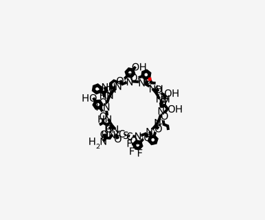 CCCC[C@H]1C(=O)N2C[C@H](O)C[C@@H]2C(=O)N[C@@H](CC(=O)O)C(=O)N[C@@H](C(C)C)C(=O)N(C)[C@@H](Cc2ccccc2)C(=O)N[C@@H](Cc2ccc(O)cc2)C(=O)N2CCCC[C@@H]2C(=O)N[C@@H](Cc2c[nH]c3ccccc23)C(=O)N[C@@H](Cc2ccc(O)cc2)C(=O)NC(CC(C)C)C(=O)N[C@H](C(=O)NCC(N)=O)CSCC(=O)N[C@@H](Cc2cc(F)c(F)c(F)c2)C(=O)N(C)[C@@H](Cc2ccccc2)C(=O)N1C